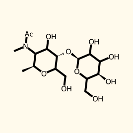 CC(=O)N(C)C1C(O)[C@H](O[C@@H]2OC(CO)[C@H](O)C(O)C2O)C(CO)O[C@H]1C